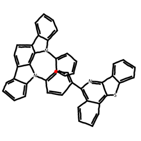 c1ccc(-n2c3ccccc3c3ccc4c5ccccc5n(-c5ccc(-c6nc7c8ccccc8sc7c7ccccc67)cc5)c4c32)cc1